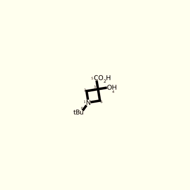 CC(C)(C)N1CC(O)(C(=O)O)C1